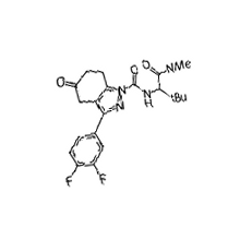 CNC(=O)C(NC(=O)n1nc(-c2ccc(F)c(F)c2)c2c1CCC(=O)C2)C(C)(C)C